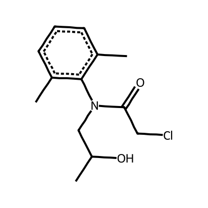 Cc1cccc(C)c1N(CC(C)O)C(=O)CCl